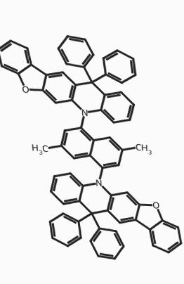 Cc1cc(N2c3ccccc3C(c3ccccc3)(c3ccccc3)c3cc4c(cc32)oc2ccccc24)c2cc(C)cc(N3c4ccccc4C(c4ccccc4)(c4ccccc4)c4cc5c(cc43)oc3ccccc35)c2c1